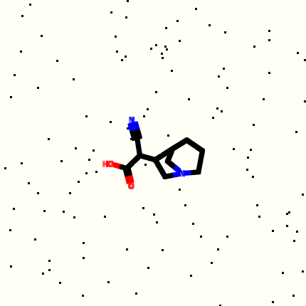 N#CC(C(=O)O)C1CN2CCCC1C2